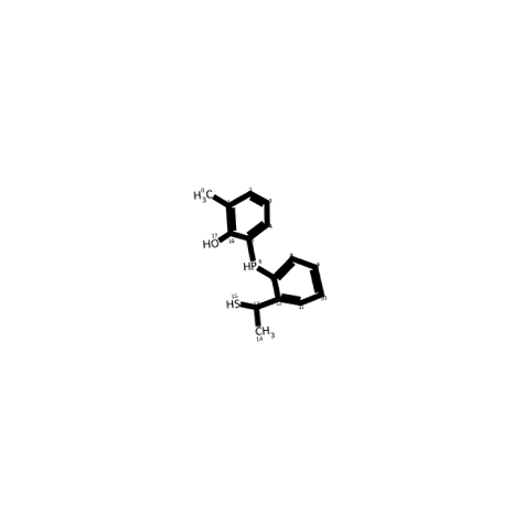 Cc1cccc(Pc2ccccc2C(C)S)c1O